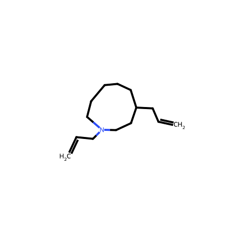 C=CCC1CCCCCN(CC=C)CC1